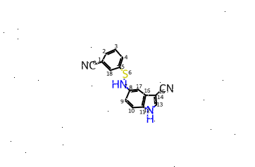 N#Cc1cccc(SNc2ccc3[nH]cc(C#N)c3c2)c1